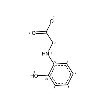 [O]C(=O)CNc1ccccc1O